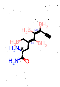 BC/C(C[C@H](N)C(N)=O)=C(B)\C(B)=C(\B)C#C